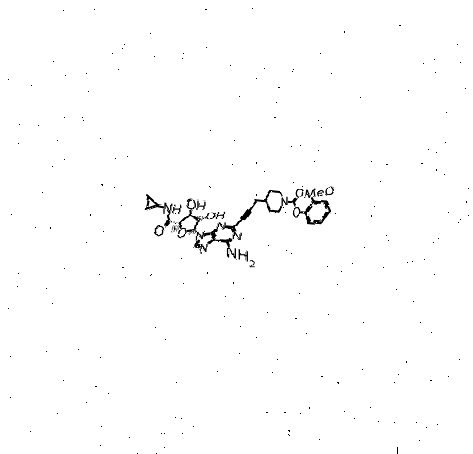 COc1ccccc1OC(=O)N1CCC(CC#Cc2nc(N)c3ncn([C@@H]4O[C@H](C(=O)NC5CC5)C(O)[C@@H]4O)c3n2)CC1